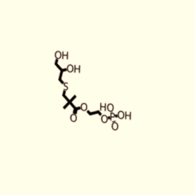 CC(C)(CSCC(O)CO)C(=O)OCCOP(=O)(O)O